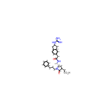 N=C(N)NC1Cc2ccc(CC(=O)NC[C@@H]3C[C@@H](CC(=O)O)C(=O)N3CCCc3ccccc3)cc2C1